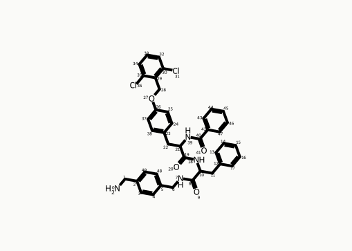 NCc1ccc(CNC(=O)C(Cc2ccccc2)NC(=O)C(Cc2ccc(OCc3c(Cl)cccc3Cl)cc2)NC(=O)c2ccccc2)cc1